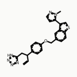 C=CC(Cc1nnn[nH]1)c1ccc(OCc2ccc3scc(-c4ccnn4C)c3c2)cc1